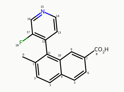 Cc1ccc2ccc(C(=O)O)cc2c1-c1ccncc1F